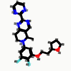 CC1c2cnc(-c3ncccn3)nc2CCN1c1cc(F)c(F)c(OCCC2CCCO2)c1